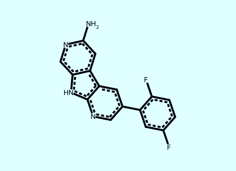 Nc1cc2c(cn1)[nH]c1ncc(-c3cc(F)ccc3F)cc12